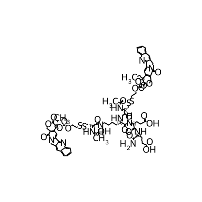 CC[C@]1(OC(=O)OCCSSC[C@@H](NC(C)=O)C(=O)N[C@@H](CCCCNC(=O)[C@@H](CSSCCOC(=O)O[C@]2(CC)C(=O)OCc3c2cc2n(c3=O)Cc3cc4ccccc4nc3-2)NC(C)O)C(=O)N[C@@H](CCC(=O)O)C(=O)N[C@@H](CCC(=O)O)C(N)=O)C(=O)OCc2c1cc1n(c2=O)Cc2cc3ccccc3nc2-1